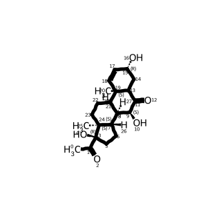 CC(=O)[C@@]1(O)CC[C@H]2[C@@H]3[C@H](O)C(=O)C4C[C@@H](O)C=C[C@]4(C)[C@H]3CC[C@@]21C